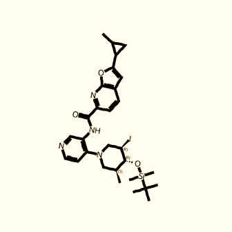 CC1CC1c1cc2ccc(C(=O)Nc3cnccc3N3C[C@@H](I)[C@H](O[Si](C)(C)C(C)(C)C)[C@@H](C)C3)nc2o1